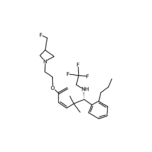 C=C(/C=C\C(C)(C)[C@H](NCC(F)(F)F)c1ccccc1CCC)OCCN1CC(CF)C1